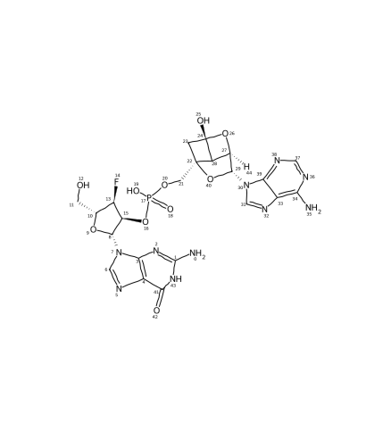 Nc1nc2c(ncn2[C@@H]2O[C@H](CO)[C@@H](F)[C@H]2OP(=O)(O)OC[C@]23C[C@]4(O)O[C@H](C24)[C@H](n2cnc4c(N)ncnc42)O3)c(=O)[nH]1